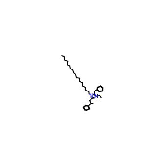 CCCCCCCCCCCCCCCCCCC[n+]1c(CC(C)c2ccccc2)cn(CC)c1Cc1ccccc1